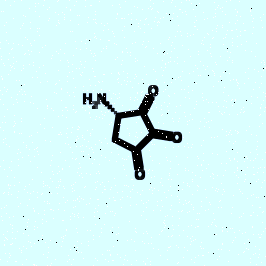 N[C@H]1CC(=O)C(=O)C1=O